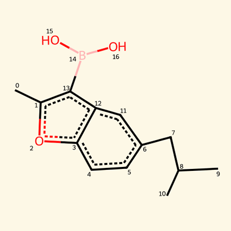 Cc1oc2ccc(CC(C)C)cc2c1B(O)O